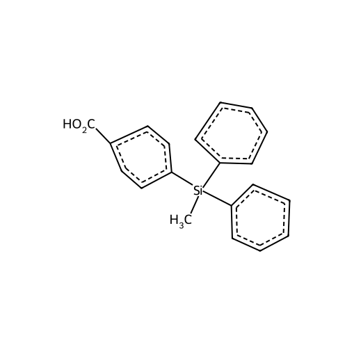 C[Si](c1ccccc1)(c1ccccc1)c1ccc(C(=O)O)cc1